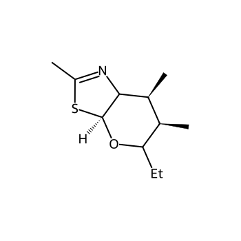 CCC1O[C@H]2SC(C)=NC2[C@@H](C)[C@H]1C